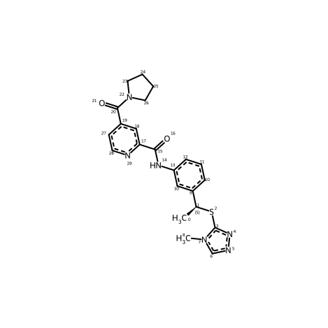 C[C@H](Sc1nncn1C)c1cccc(NC(=O)c2cc(C(=O)N3CCCC3)ccn2)c1